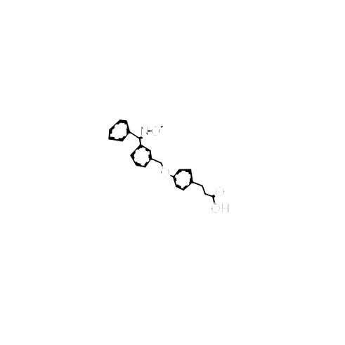 CON=C(c1ccccc1)c1cccc(COc2ccc(CCC(=O)O)cc2)c1